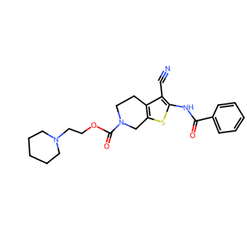 N#Cc1c(NC(=O)c2ccccc2)sc2c1CCN(C(=O)OCCN1CCCCC1)C2